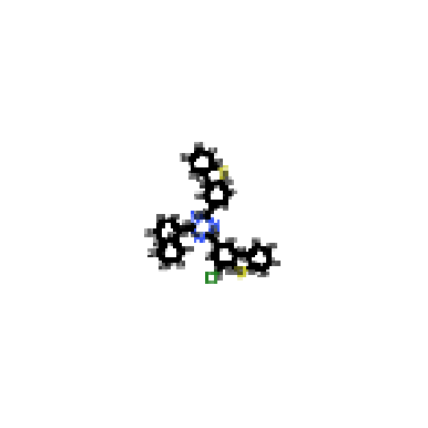 Clc1cc(-c2nc(-c3ccc4sc5ccccc5c4c3)nc(-c3cccc4ccccc34)n2)cc2c1sc1ccccc12